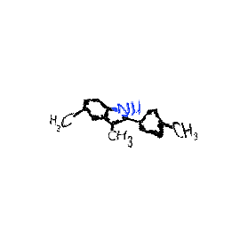 Cc1ccc(-c2[nH]c3ccc(C)cc3c2C)cc1